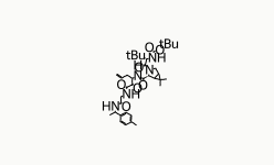 C=CCC(NC(=O)[C@@H]1C2C(CN1C(=O)[C@@H](NC(=O)OC(C)(C)C)C(C)(C)C)C2(C)C)C(=O)C(=O)NCC(=O)NC(C)c1ccc(C)cc1